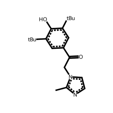 Cc1nccn1CC(=O)c1cc(C(C)(C)C)c(O)c(C(C)(C)C)c1